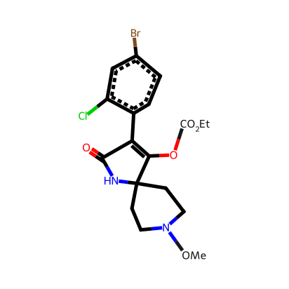 CCOC(=O)OC1=C(c2ccc(Br)cc2Cl)C(=O)NC12CCN(OC)CC2